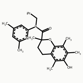 Cc1cc(C)nc(N(CC(C)C)C(=O)C2(C)CCc3c(C)c(O)c(C)c(C)c3O2)c1